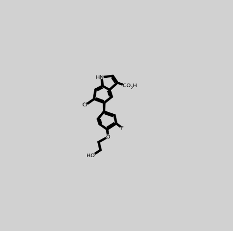 O=C(O)c1c[nH]c2cc(Cl)c(-c3ccc(OCCO)c(F)c3)cc12